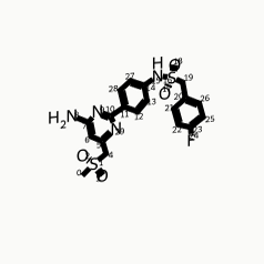 CS(=O)(=O)Cc1cc(N)nc(-c2ccc(NS(=O)(=O)Cc3ccc(F)cc3)cc2)n1